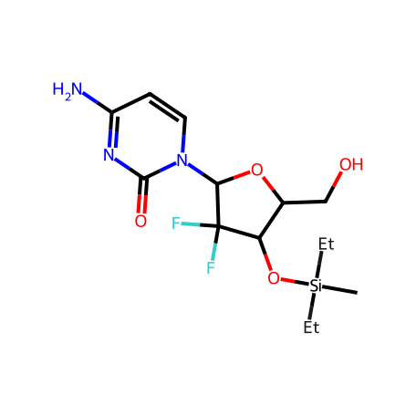 CC[Si](C)(CC)OC1C(CO)OC(n2ccc(N)nc2=O)C1(F)F